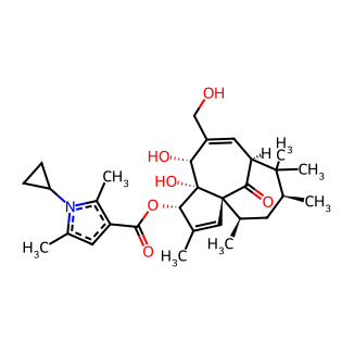 CC1=C[C@]23C(=O)[C@@H](C=C(CO)[C@@H](O)[C@]2(O)[C@H]1OC(=O)c1cc(C)n(C2CC2)c1C)C(C)(C)[C@@H](C)C[C@H]3C